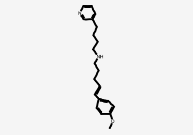 COc1ccc(C=CCCCNCCCCc2cccnc2)cc1